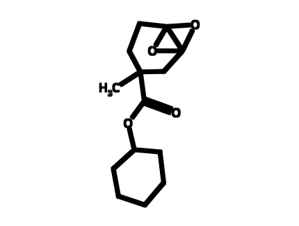 CC1(C(=O)OC2CCCCC2)CCC23OC2(C1)O3